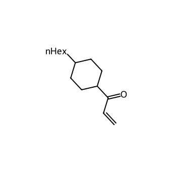 C=CC(=O)C1CCC(CCCCCC)CC1